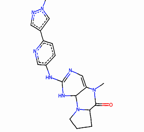 CN1C(=O)C2CCCN2C2NC(Nc3ccc(-c4cnn(C)c4)nc3)=NC=C21